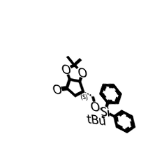 CC1(C)OC2C(=O)C[C@@H](CO[Si](c3ccccc3)(c3ccccc3)C(C)(C)C)C2O1